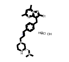 CCc1nn2c(C)cc(C)nc2c1Cc1ccc(/C=C/CN2CCN[C@@H](CN(C)C)C2)cc1.Cl.Cl.Cl